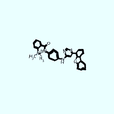 CN(C)c1ccccc1C(=O)Nc1ccc(Nc2cc(-c3cccc4c3oc3ccccc34)ncn2)cc1